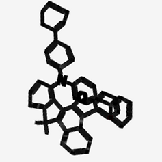 CC1(C)c2cccc(N(c3ccc(C4=CC=CCC4)cc3)c3ccc(-c4ccccc4)cc3)c2-c2c1c1ccccc1c1c2oc2ccccc21